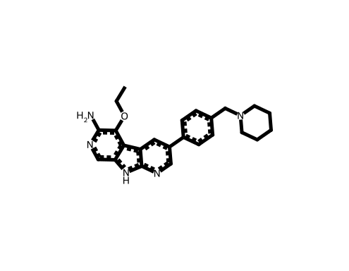 CCOc1c(N)ncc2[nH]c3ncc(-c4ccc(CN5CCCCC5)cc4)cc3c12